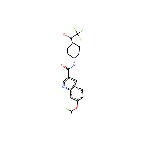 O=C(N[C@H]1CC[C@H](C(O)C(F)(F)F)CC1)c1cnc2cc(OC(F)F)ccc2c1